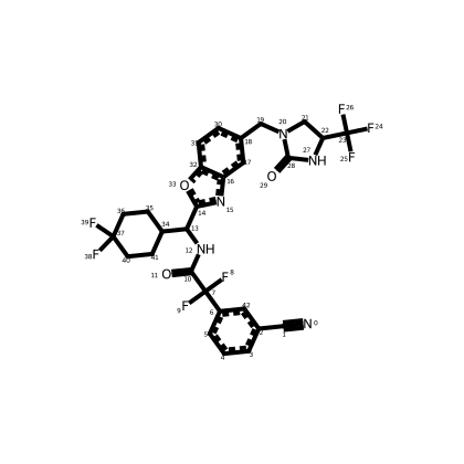 N#Cc1cccc(C(F)(F)C(=O)NC(c2nc3cc(CN4CC(C(F)(F)F)NC4=O)ccc3o2)C2CCC(F)(F)CC2)c1